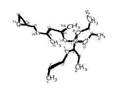 CCCOC(CC)[Si](OCC)(OCC)OC(C)CC(C)OCC1CO1